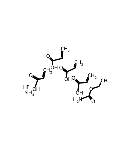 C=CC(=O)O.C=CC(=O)O.C=CC(=O)O.C=CC(=O)O.CCOC(N)=O.F.[SiH4]